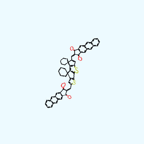 O=C1C(=CC2=Cc3sc4c(c3C23CCCCC3)C2(CCCCC2)c2cc(C=C3C(=O)c5cc6cc7ccccc7cc6cc5C3=O)sc2-4)C(=O)c2cc3cc4ccccc4cc3cc21